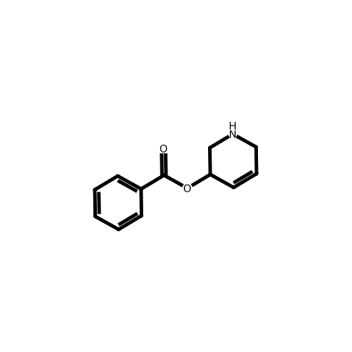 O=C(OC1C=CCNC1)c1ccccc1